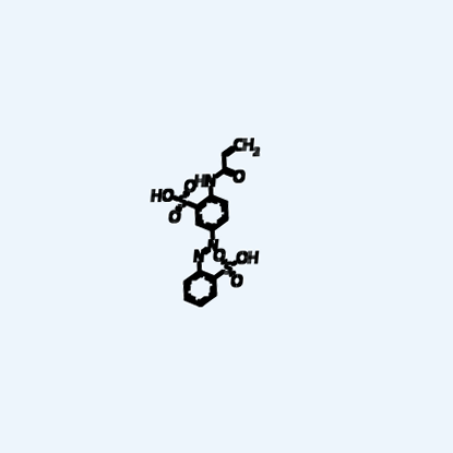 C=CC(=O)Nc1ccc(N=Nc2ccccc2S(=O)(=O)O)cc1S(=O)(=O)O